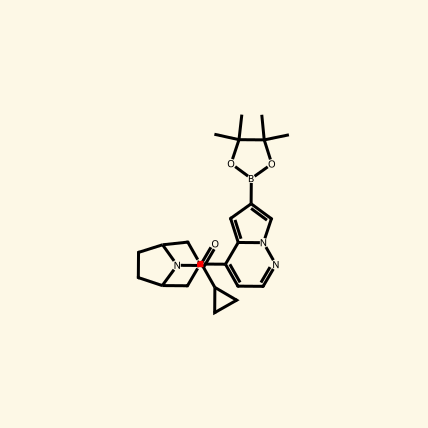 CC1(C)OB(c2cc3c(N4CC5CCC(C4)N5C(=O)C4CC4)ccnn3c2)OC1(C)C